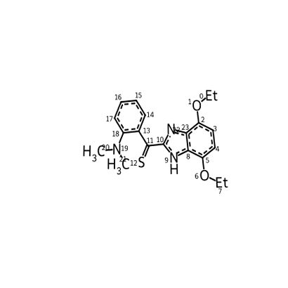 CCOc1ccc(OCC)c2[nH]c(C(=S)c3ccccc3N(C)C)nc12